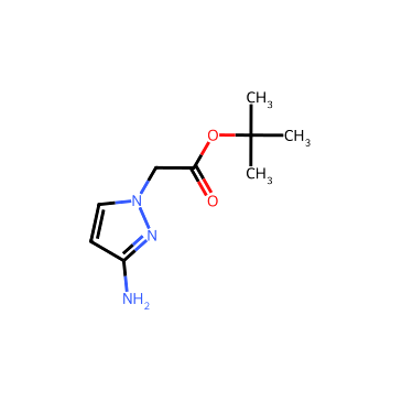 CC(C)(C)OC(=O)Cn1ccc(N)n1